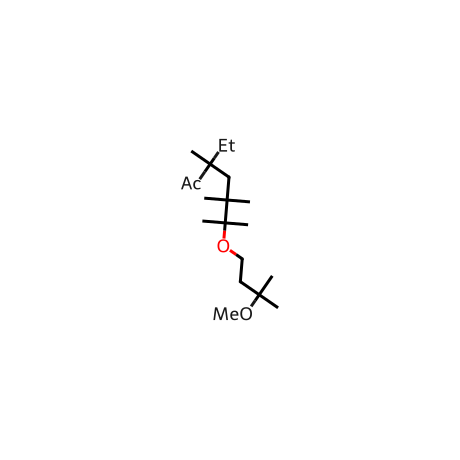 CCC(C)(CC(C)(C)C(C)(C)OCCC(C)(C)OC)C(C)=O